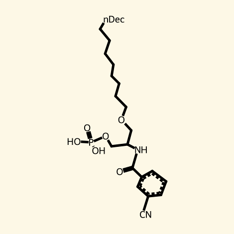 CCCCCCCCCCCCCCCCCCOCC(COP(=O)(O)O)NC(=O)c1cccc(C#N)c1